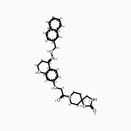 O=C1NCC2(CCN(C(=O)COc3ccc4c(c3)OCCC4=NOCc3ccc4ccccc4c3)CC2)O1